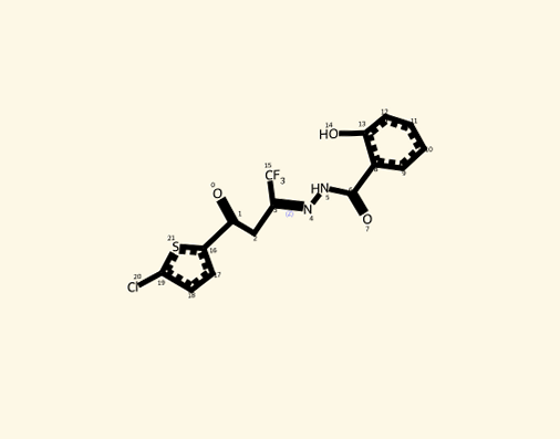 O=C(C/C(=N/NC(=O)c1ccccc1O)C(F)(F)F)c1ccc(Cl)s1